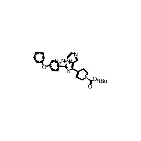 CC(C)(C)OC(=O)N1CC=C(C2=C3C=NC=C[N+]3(N)C(c3ccc(Oc4ccccc4)cc3)=N2)CC1